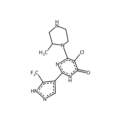 CC1CNCCN1c1nc(-c2cn[nH]c2C(F)(F)F)[nH]c(=O)c1Cl